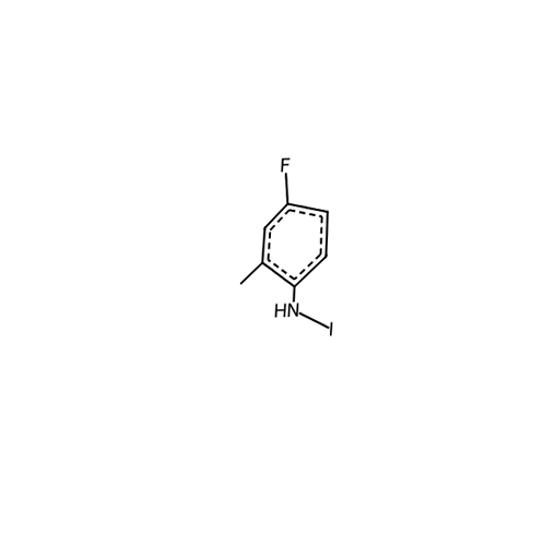 Cc1cc(F)ccc1NI